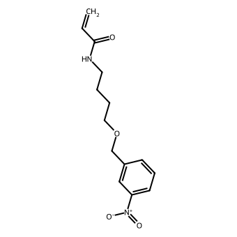 C=CC(=O)NCCCCOCc1cccc([N+](=O)[O-])c1